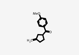 C=C1C[CH]C(C(=O)c2ccc(OC)cc2)C1